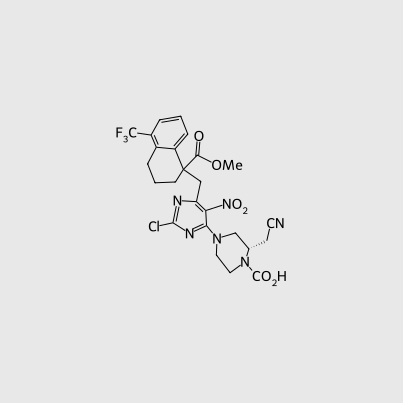 COC(=O)C1(Cc2nc(Cl)nc(N3CCN(C(=O)O)[C@@H](CC#N)C3)c2[N+](=O)[O-])CCCc2c(C(F)(F)F)cccc21